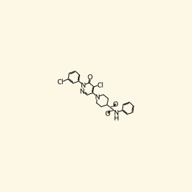 O=c1c(Cl)c(N2CCC(S(=O)(=O)Nc3ccccc3)CC2)cnn1-c1cccc(Cl)c1